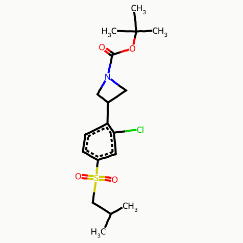 CC(C)CS(=O)(=O)c1ccc(C2CN(C(=O)OC(C)(C)C)C2)c(Cl)c1